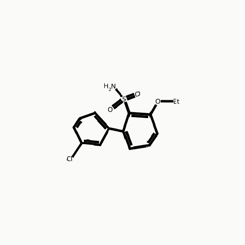 CCOc1cccc(-c2cccc(Cl)c2)c1S(N)(=O)=O